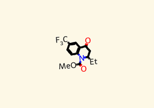 CCC1CC(=O)c2cc(C(F)(F)F)ccc2N1C(=O)OC